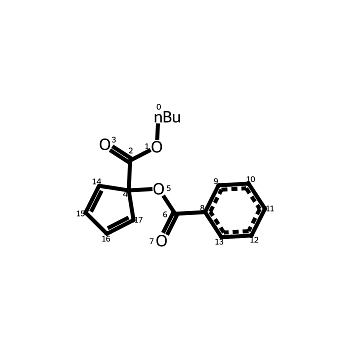 CCCCOC(=O)C1(OC(=O)c2ccccc2)C=CC=C1